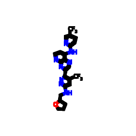 FC(F)(F)c1ccc(Nc2ccnc3nc(-c4nnc(NCC5CCCO5)cc4C(F)(F)F)cnc23)nc1